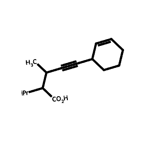 CC(C)C(C(=O)O)C(C)C#CC1C=CCCC1